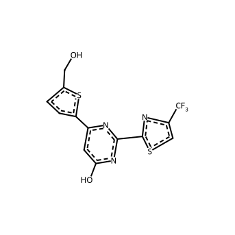 OCc1ccc(-c2cc(O)nc(-c3nc(C(F)(F)F)cs3)n2)s1